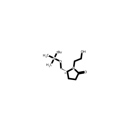 CC(C)(C)[Si](C)(C)OC[C@H]1CCC(=O)N1CCO